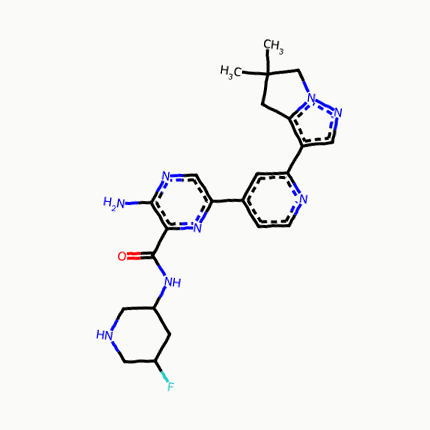 CC1(C)Cc2c(-c3cc(-c4cnc(N)c(C(=O)NC5CNCC(F)C5)n4)ccn3)cnn2C1